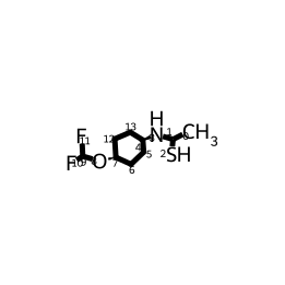 CC(S)N[C@H]1CC[C@H](OC(F)F)CC1